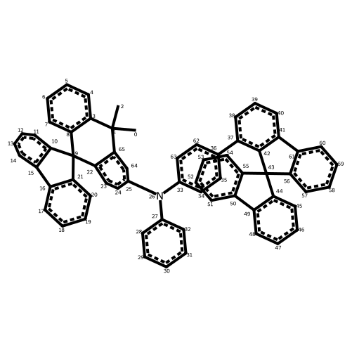 CC1(C)c2ccccc2C2(c3ccccc3-c3ccccc32)c2ccc(N(c3ccccc3)c3ccc(-c4cccc5c4C4(c6ccccc6-c6ccccc64)c4ccccc4-5)cc3)cc21